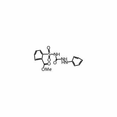 COC(=O)c1ccccc1S(=O)(=O)NC(=O)NNc1ccccc1